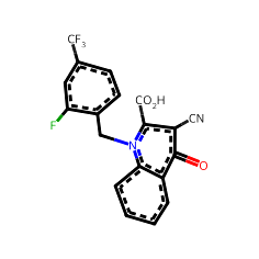 N#Cc1c(C(=O)O)n(Cc2ccc(C(F)(F)F)cc2F)c2ccccc2c1=O